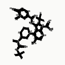 CN(C(=O)OC(C)(C)C)C1CCCN(c2c(Br)cnc3c2c(NC(=O)c2ccc(=O)n(C)c2)c(C(C)(C)C)n3C(=O)O)C1